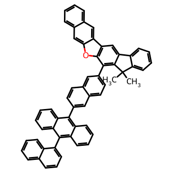 CC1(C)c2ccccc2-c2cc3c(oc4cc5ccccc5cc43)c(-c3ccc4cc(-c5c6ccccc6c(-c6cccc7ccccc67)c6ccccc56)ccc4c3)c21